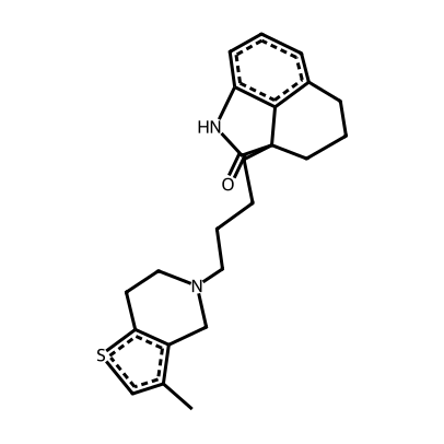 Cc1csc2c1CN(CCCCC13CCCc4cccc(c41)NC3=O)CC2